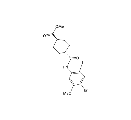 COc1cc(NC(=O)[C@H]2CC[C@H](C(=O)OC)CC2)c(I)cc1Br